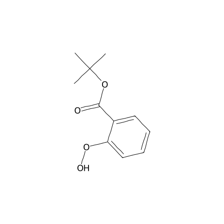 CC(C)(C)OC(=O)c1ccccc1OO